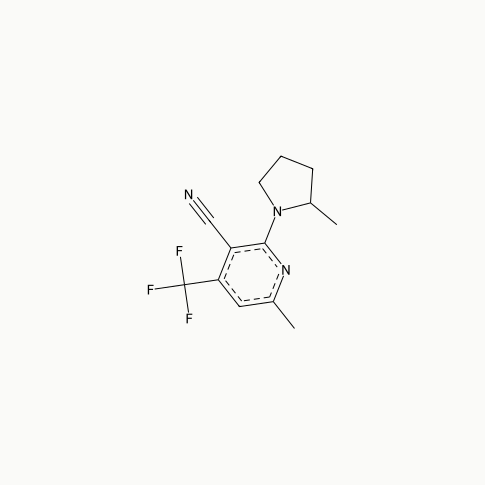 Cc1cc(C(F)(F)F)c(C#N)c(N2CCCC2C)n1